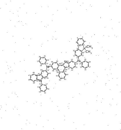 CC1(C)c2ccccc2-c2ccc(N(c3ccccc3)c3ccc4c(c3)sc3c5ccc(N(c6ccccc6)c6ccc7c(c6)c6ccccc6n7-c6ccccc6)cc5c5ccccc5c43)cc21